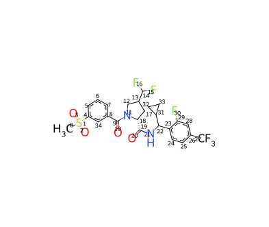 CS(=O)(=O)c1cccc(C(=O)N2CC(C(F)F)C[C@@H]2C(=O)NC(c2ccc(C(F)(F)F)cc2F)C2CC2)c1